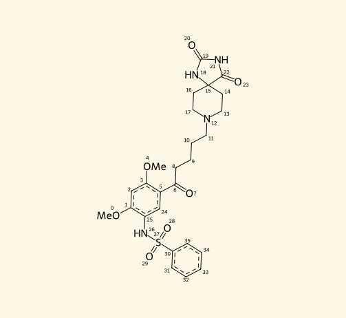 COc1cc(OC)c(C(=O)CCCCN2CCC3(CC2)NC(=O)NC3=O)cc1NS(=O)(=O)c1ccccc1